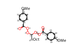 [CH2]CCCCCCC[C](OOC(=O)c1ccc(OC)cc1)OOC(=O)c1ccc(OC)cc1